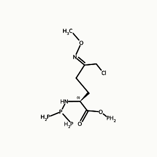 CON=C(CCl)CC[C@H](NP(P)P)C(=O)OP